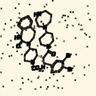 O=C(C(Cc1ccc(Br)c(Br)c1)[C@H]1CC(N2CCc3ccccc3NC2=O)CCN1C(=O)O)N1CCC(N2CCCNCC2)CC1